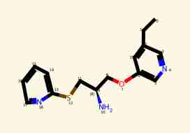 CCc1cncc(OC[C@@H](N)CSc2ccccn2)c1